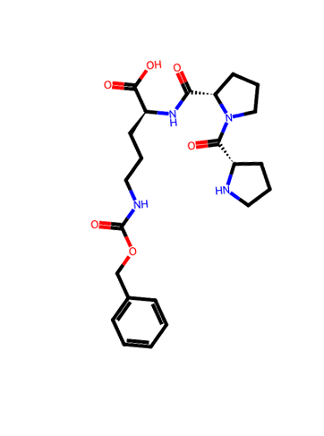 O=C(NCCC[C@H](NC(=O)[C@@H]1CCCN1C(=O)[C@@H]1CCCN1)C(=O)O)OCc1ccccc1